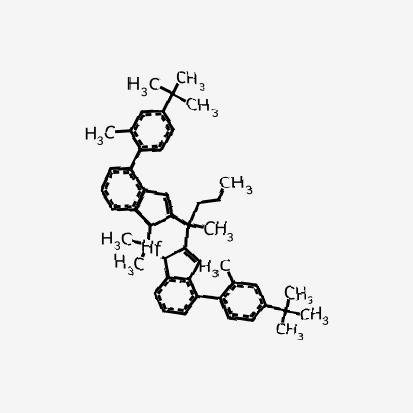 CCCC1(C)C2=Cc3c(-c4ccc(C(C)(C)C)cc4C)cccc3[CH]2[Hf]([CH3])([CH3])[CH]2C1=Cc1c(-c3ccc(C(C)(C)C)cc3C)cccc12